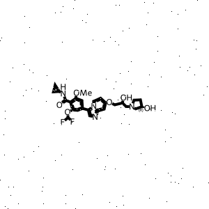 COc1cc(-c2cnc3cc(OCC(O)CN4CC[C@@H](O)C4)ccn23)cc(OC(F)F)c1C(=O)NC1CC1